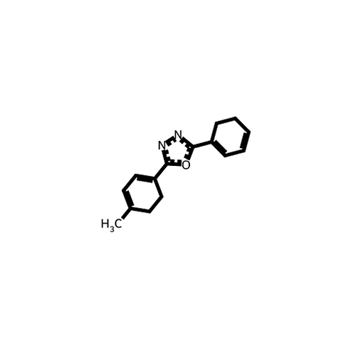 CC1=CC=C(c2nnc(C3=CC=CCC3)o2)CC1